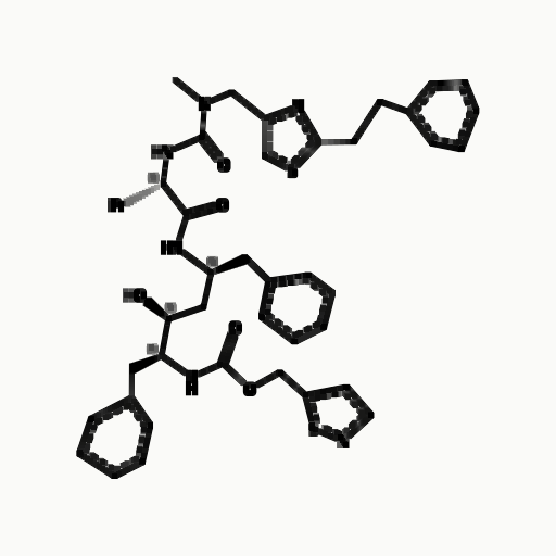 CC(C)[C@H](NC(=O)N(C)Cc1csc(CCc2ccccc2)n1)C(=O)N[C@@H](Cc1ccccc1)C[C@H](O)[C@H](Cc1ccccc1)NC(=O)OCc1ccns1